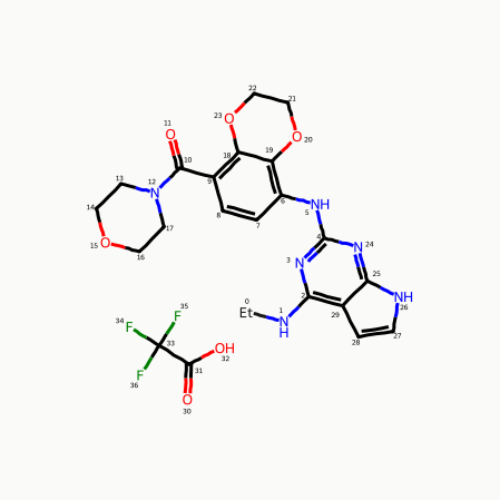 CCNc1nc(Nc2ccc(C(=O)N3CCOCC3)c3c2OCCO3)nc2[nH]ccc12.O=C(O)C(F)(F)F